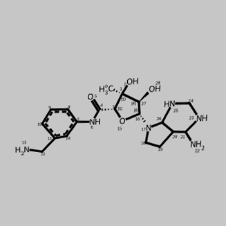 C[C@@]1(O)[C@@H](C(=O)Nc2cccc(CN)c2)O[C@@H](N2CCC3C(N)NCNC32)[C@@H]1O